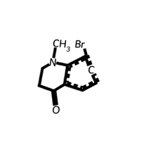 CN1CCC(=O)c2cccc(Br)c21